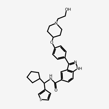 O=C(NC(c1ccsc1)C1CCCC1)c1ccc2[nH]nc(-c3ccc(OC4CCN(CCO)CC4)cc3)c2c1